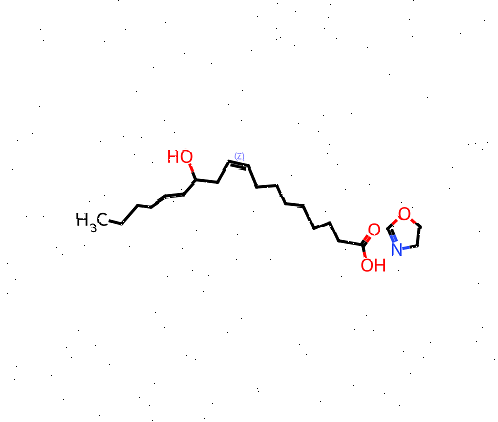 C1=NCCO1.CCCCCCC(O)C/C=C\CCCCCCCC(=O)O